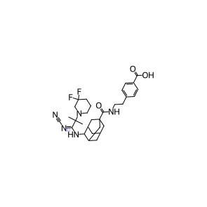 CC(C)(/C(=N\C#N)NC1C2CC3CC1CC(C(=O)NCCc1ccc(C(=O)O)cc1)(C3)C2)N1CCCC(F)(F)C1